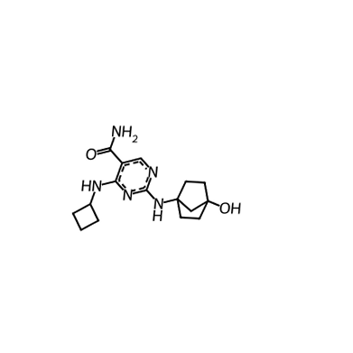 NC(=O)c1cnc(NC23CCC(O)(CC2)C3)nc1NC1CCC1